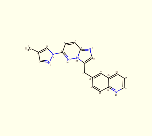 Cc1cnn(-c2ccc3ncc(Cc4ccc5ncccc5c4)n3n2)c1